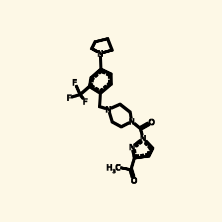 CC(=O)c1ccn(C(=O)N2CCN(Cc3ccc(N4CCCC4)cc3C(F)(F)F)CC2)n1